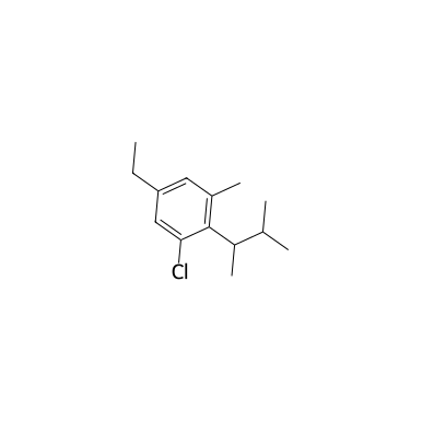 CCc1cc(C)c(C(C)C(C)C)c(Cl)c1